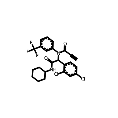 C#CC(=O)N(c1cccc(C(F)(F)F)c1)C(C(=O)NC1CCCCC1)c1ccc(Cl)cc1Cl